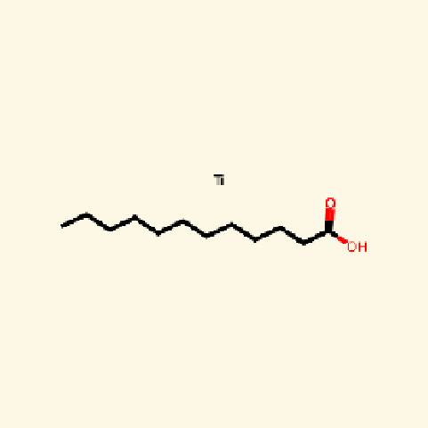 CCCCCCCCCCCC(=O)O.[Ti]